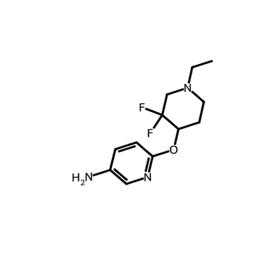 CCN1CCC(Oc2ccc(N)cn2)C(F)(F)C1